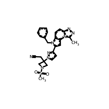 Cc1nnc2ccc3c(cc(-c4ccn(C5(CC#N)CN(S(C)(=O)=O)C5)n4)n3Cc3ccccc3)n12